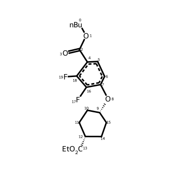 CCCCOC(=O)c1ccc(O[C@H]2CC[C@@H](C(=O)OCC)CC2)c(F)c1F